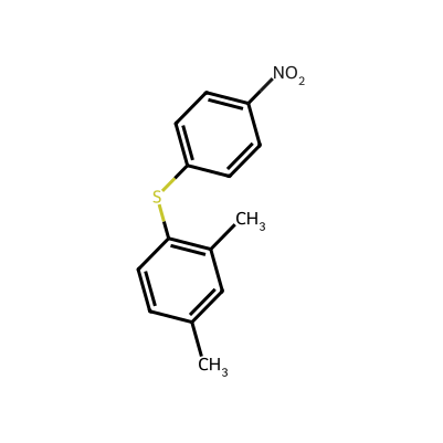 Cc1ccc(Sc2ccc([N+](=O)[O-])cc2)c(C)c1